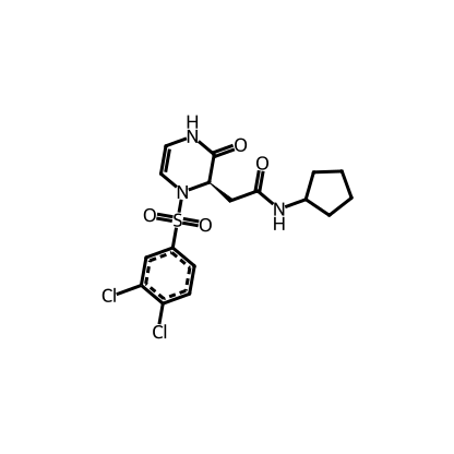 O=C(C[C@@H]1C(=O)NC=CN1S(=O)(=O)c1ccc(Cl)c(Cl)c1)NC1CCCC1